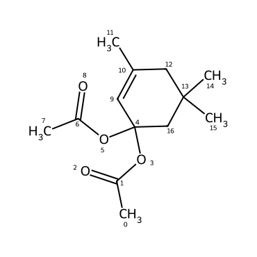 CC(=O)OC1(OC(C)=O)C=C(C)CC(C)(C)C1